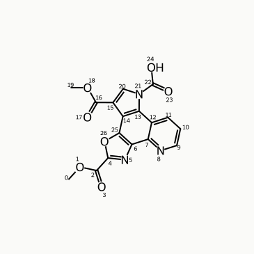 COC(=O)c1nc2c3ncccc3c3c(c(C(=O)OC)cn3C(=O)O)c2o1